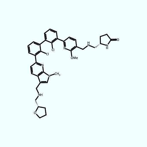 COc1nc(-c2cccc(-c3cccc(-c4ccc5c(CNC[C@@H]6CCCO6)cn(C)c5n4)c3Cl)c2Cl)ccc1CNC[C@@H]1CCC(=O)N1